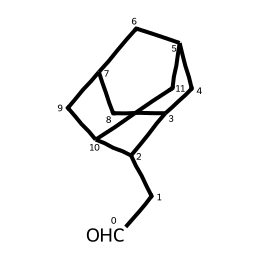 O=CCC1C2CC3CC(C2)CC1C3